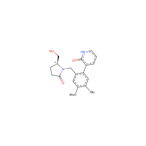 COc1cc(CN2C(=O)CC[C@H]2CO)c(-c2ccc[nH]c2=O)cc1C(C)(C)C